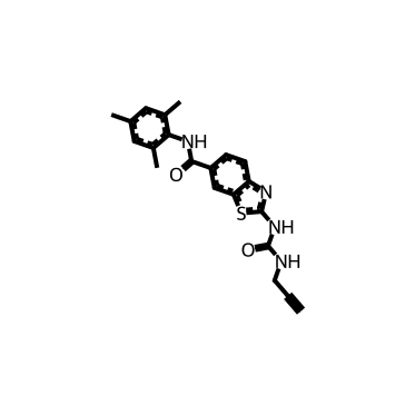 C#CCNC(=O)Nc1nc2ccc(C(=O)Nc3c(C)cc(C)cc3C)cc2s1